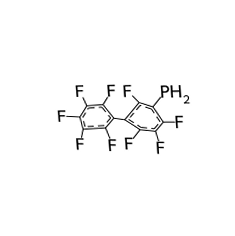 Fc1c(F)c(F)c(-c2c(F)c(F)c(F)c(P)c2F)c(F)c1F